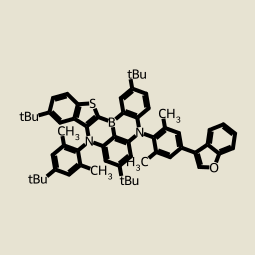 Cc1cc(-c2coc3ccccc23)cc(C)c1N1c2ccc(C(C)(C)C)cc2B2c3sc4ccc(C(C)(C)C)cc4c3N(c3c(C)cc(C(C)(C)C)cc3C)c3cc(C(C)(C)C)cc1c32